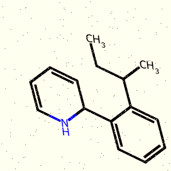 CCC(C)c1ccccc1C1C=CC=CN1